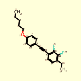 CCCCCOc1ccc(C#Cc2ccc(CC)c(F)c2F)cc1